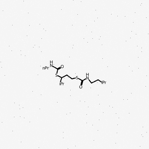 CCCNC(=O)SC(CCSC(=O)NCCC(C)C)C(C)C